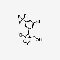 O=CC1(CO)C(c2cc(Cl)cc(C(F)(F)F)c2)C1(Cl)Cl